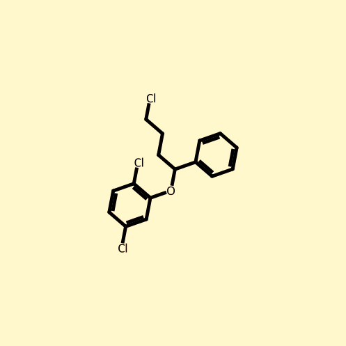 ClCCCC(Oc1cc(Cl)ccc1Cl)c1ccccc1